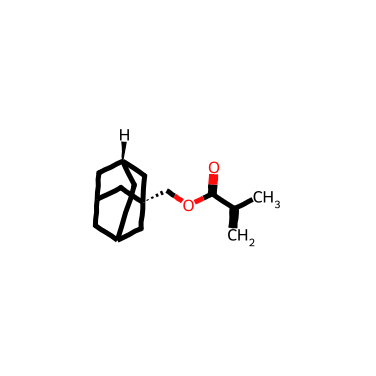 C=C(C)C(=O)OC[C@]12CC3CC(C[C@H](C3)C1)C2